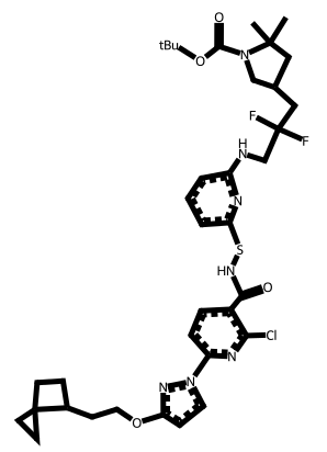 CC(C)(C)OC(=O)N1CC(CC(F)(F)CNc2cccc(SNC(=O)c3ccc(-n4ccc(OCCC5CCC56CC6)n4)nc3Cl)n2)CC1(C)C